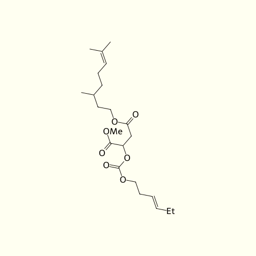 CCC=CCCOC(=O)OC(CC(=O)OCCC(C)CCC=C(C)C)C(=O)OC